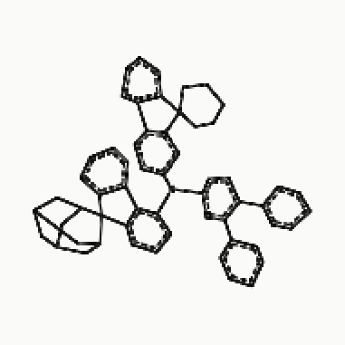 c1ccc(-c2ccc(N(c3ccc4c(c3)C3(CCCCC3)c3ccccc3-4)c3cccc4c3-c3ccccc3C43C4CC5CC(C4)CC3C5)cc2-c2ccccc2)cc1